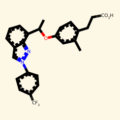 Cc1cc(OC(C)c2cccc3cn(-c4ccc(C(F)(F)F)cc4)nc23)ccc1CCC(=O)O